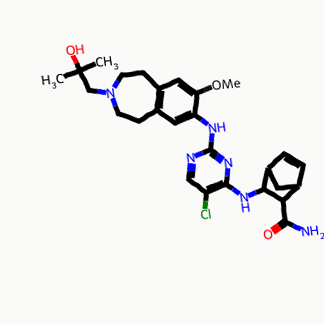 COc1cc2c(cc1Nc1ncc(Cl)c(NC3C4C=CC(C4)C3C(N)=O)n1)CCN(CC(C)(C)O)CC2